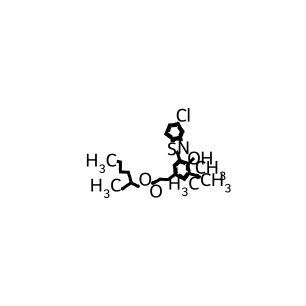 CCCCC(CC)COC(=O)CCc1cc(-c2nc3cc(Cl)ccc3s2)c(O)c(C(C)(C)C)c1